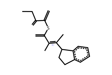 C=C(CC)C(=C)SC(=C)/C(C)=C(\C)C1CCc2ccccc21